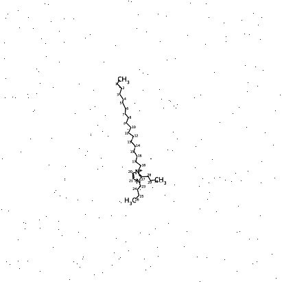 CCCCCCCCCCCCCCCCCCC[n+]1ccn(CCCC)c1CCC